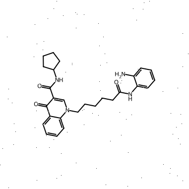 Nc1ccccc1NC(=O)CCCCCn1cc(C(=O)NC2CCCC2)c(=O)c2ccccc21